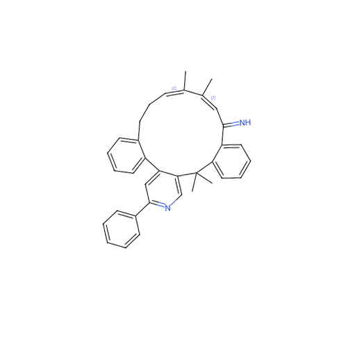 CC1=C/CCc2ccccc2-c2cc(-c3ccccc3)ncc2C(C)(C)c2ccccc2C(=N)/C=C\1C